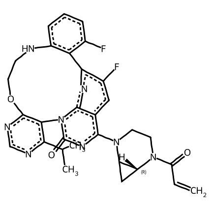 C=CC(=O)N1CCN(c2nc(=O)n3c4nc(c(F)cc24)-c2c(F)cccc2NCCOc2ncnc(C(C)C)c2-3)C2C[C@H]21